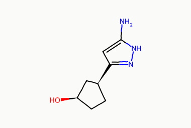 Nc1cc([C@H]2CC[C@@H](O)C2)n[nH]1